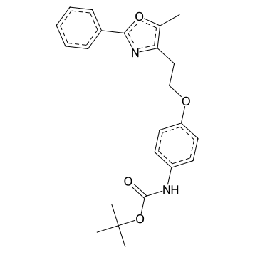 Cc1oc(-c2ccccc2)nc1CCOc1ccc(NC(=O)OC(C)(C)C)cc1